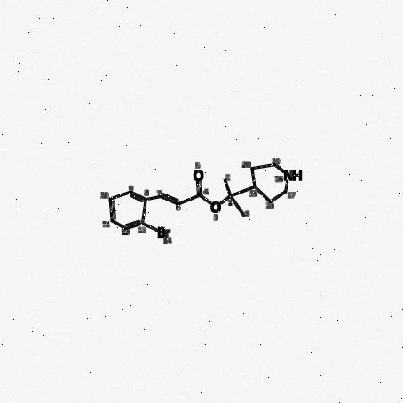 CC(C)(OC(=O)/C=C/c1ccccc1Br)C1CCNCC1